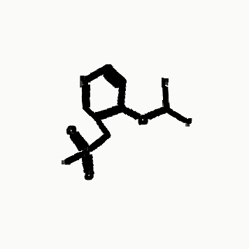 [CH2]S(=O)(=O)Cc1cnccc1OC(F)F